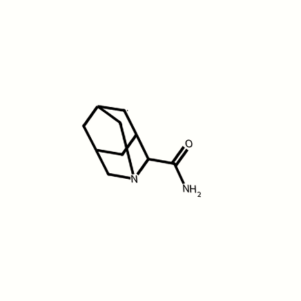 NC(=O)C1C2[CH]C3CC(C2)CN1C3